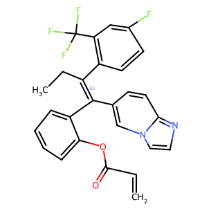 C=CC(=O)Oc1ccccc1/C(=C(\CC)c1ccc(F)cc1C(F)(F)F)c1ccc2nccn2c1